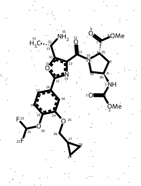 COC(=O)N[C@@H]1C[C@@H](C(=O)OC)N(C(=O)c2nc(-c3ccc(OC(F)F)c(OCC4CC4)c3)oc2[C@H](C)N)C1